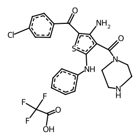 Nc1c(C(=O)c2ccc(Cl)cc2)sc(Nc2ccccc2)c1C(=O)N1CCNCC1.O=C(O)C(F)(F)F